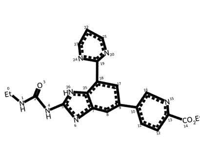 CCNC(=O)Nc1nc2cc(-c3ccc(C(=O)OCC)nc3)cc(-c3ncccn3)c2[nH]1